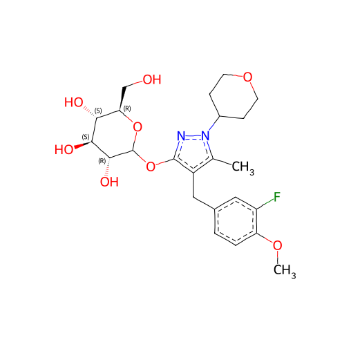 COc1ccc(Cc2c(OC3O[C@H](CO)[C@@H](O)[C@H](O)[C@H]3O)nn(C3CCOCC3)c2C)cc1F